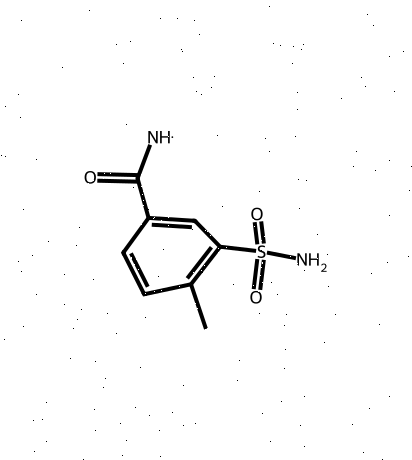 Cc1ccc(C([NH])=O)cc1S(N)(=O)=O